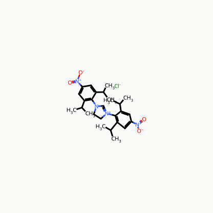 CC(C)c1cc([N+](=O)[O-])cc(C(C)C)c1N1C=[N+](c2c(C(C)C)cc([N+](=O)[O-])cc2C(C)C)CC1.[Cl-]